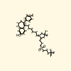 O=S(=O)(CCCC1CC(F)(F)CN1CCCCCCC1=C(c2ccc(F)cc2)CCCc2cc(O)ccc21)CCCC(F)(F)F